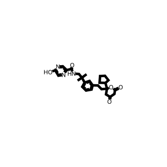 CC(C)(CNC(=O)c1cnc(O)cn1)c1cccc(CCC2(C3CCCC3)CC(=O)CC(=O)O2)c1